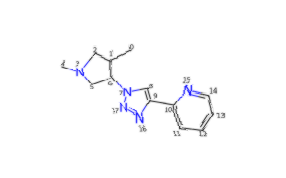 CC1CN(C)CC1n1cc(-c2ccccn2)nn1